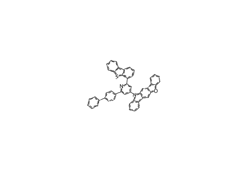 c1ccc(-c2ccc(-c3cc(-n4c5ccccc5c5cc6oc7ccccc7c6cc54)cc(-c4cccc5c4sc4ccccc45)n3)cc2)cc1